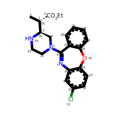 CCOC(=O)[C@@H](C)[C@H]1CN(C2=Nc3cc(Cl)ccc3Oc3ccccc32)CCN1